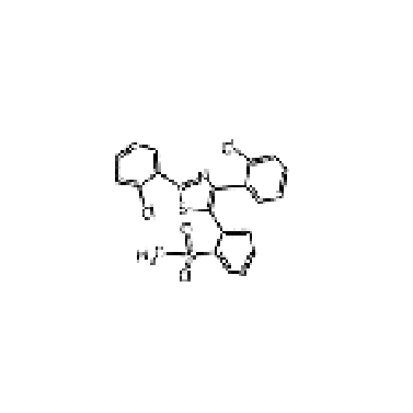 CS(=O)(=O)c1ccccc1-c1sc(-c2ccccc2Cl)nc1-c1ccccc1Cl